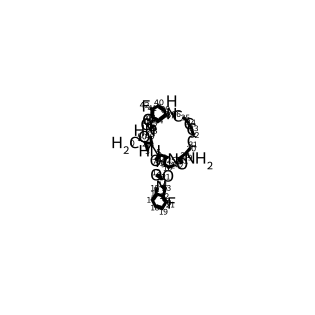 C=C[C@@H]1C[C@@]12NC(=O)[C@@H]1C[C@@H](OC(=O)N3Cc4cccc(F)c4C3)CN1C(=O)[C@@H](N)CCCCCCCNc1ccc(F)cc1S(=O)(=O)NC2=O